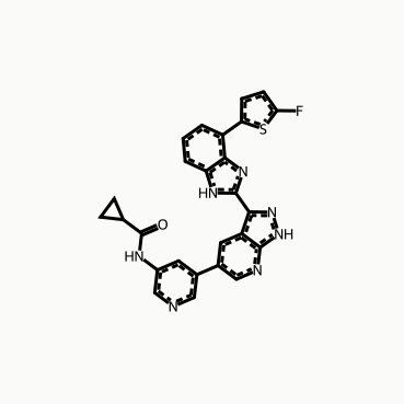 O=C(Nc1cncc(-c2cnc3[nH]nc(-c4nc5c(-c6ccc(F)s6)cccc5[nH]4)c3c2)c1)C1CC1